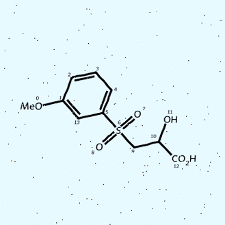 COc1cccc(S(=O)(=O)CC(O)C(=O)O)c1